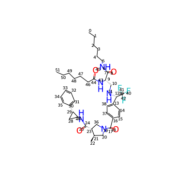 CCCCCCNC(=O)[C@H](CN[C@@H](c1ccc(C(=O)N2C[C@@H](C)[C@H](C(=O)N[C@H]3C[C@@H]3c3ccccc3)C2)cc1)C(F)(F)F)NC(=O)CCCCCC